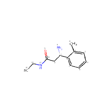 Cc1ccccc1[C@@H](N)CC(=O)NCC#N